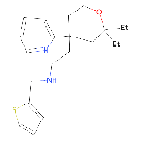 CCC1(CC)CC(CCNCc2cccs2)(c2ccccn2)CCO1